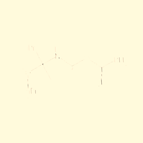 BC(C)OCNC(C)(OCCC)C(C)C